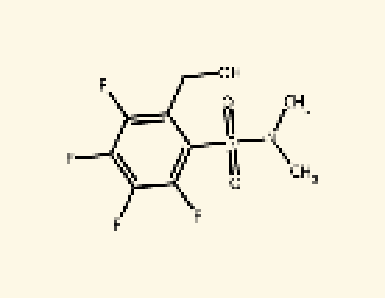 CN(C)S(=O)(=O)c1c(F)c(F)c(F)c(F)c1CO